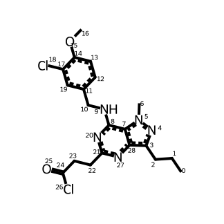 CCCc1nn(C)c2c(NCc3ccc(OC)c(Cl)c3)nc(CCC(=O)Cl)nc12